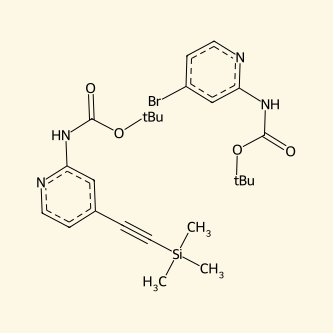 CC(C)(C)OC(=O)Nc1cc(Br)ccn1.CC(C)(C)OC(=O)Nc1cc(C#C[Si](C)(C)C)ccn1